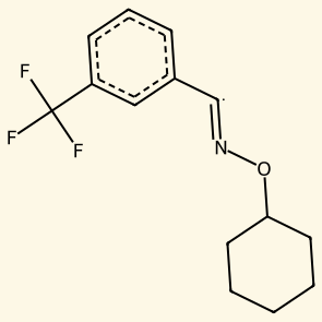 FC(F)(F)c1cccc(/[C]=N/OC2CCCCC2)c1